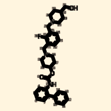 O=C(Nc1ccccc1-c1ccccc1)OC1CCN(Cc2cccc(CN3CCC(CO)CC3)c2F)CC1